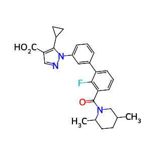 CC1CCC(C)N(C(=O)c2cccc(-c3cccc(-n4ncc(C(=O)O)c4C4CC4)c3)c2F)C1